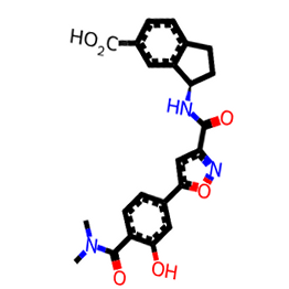 CN(C)C(=O)c1ccc(-c2cc(C(=O)N[C@@H]3CCc4ccc(C(=O)O)cc43)no2)cc1O